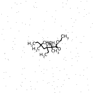 CCOC(=O)C(C)(C)[C@](C)(CC)CC(C)(C)CC